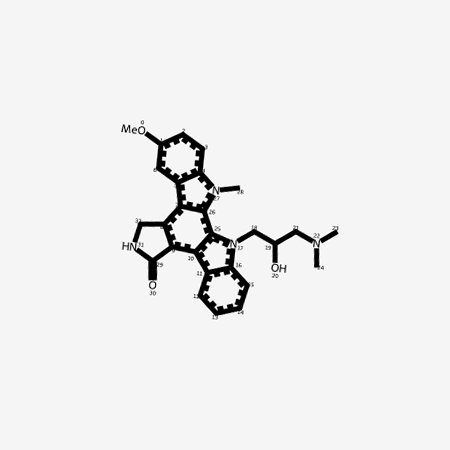 COc1ccc2c(c1)c1c3c(c4c5ccccc5n(CC(O)CN(C)C)c4c1n2C)C(=O)NC3